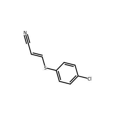 N#CC=CSc1ccc(Cl)cc1